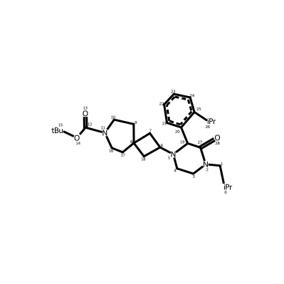 CC(C)CN1CCN(C2CC3(CCN(C(=O)OC(C)(C)C)CC3)C2)C(c2ccccc2C(C)C)C1=O